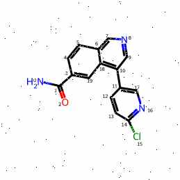 NC(=O)c1ccc2cncc(-c3ccc(Cl)nc3)c2c1